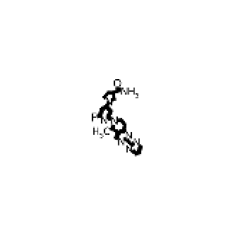 CC1c2cnc(-c3ncccn3)nc2CCN1c1cc(N2CCC(C(N)=O)C2)cc(F)n1